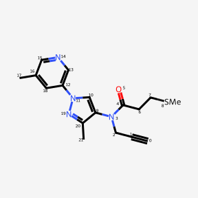 C#CCN(C(=O)CCSC)c1cn(-c2cncc(C)c2)nc1C